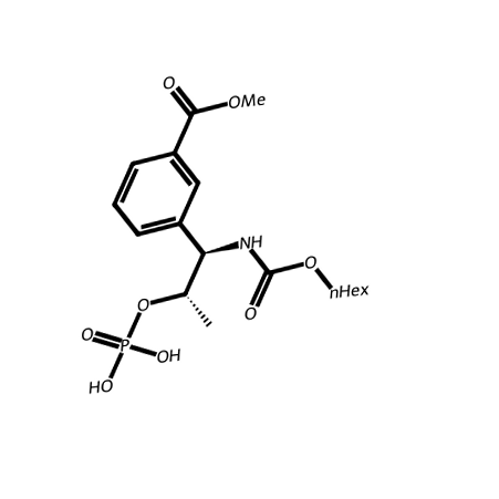 CCCCCCOC(=O)N[C@H](c1cccc(C(=O)OC)c1)[C@H](C)OP(=O)(O)O